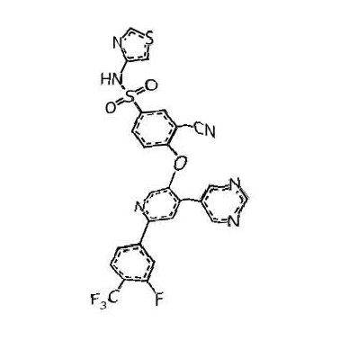 N#Cc1cc(S(=O)(=O)Nc2cscn2)ccc1Oc1cnc(-c2ccc(C(F)(F)F)c(F)c2)cc1-c1cncnc1